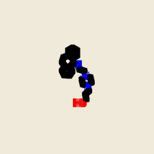 OCCCN1CCN(CCN=C2c3ccccc3CCc3ccccc32)CC1